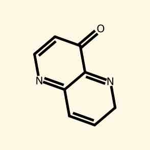 O=C1C=CN=C2C=CCN=C12